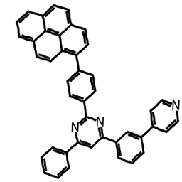 c1ccc(-c2cc(-c3cccc(-c4ccncc4)c3)nc(-c3ccc(-c4ccc5ccc6cccc7ccc4c5c67)cc3)n2)cc1